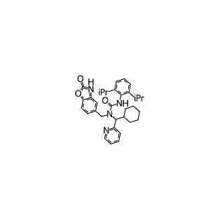 CC(C)c1cccc(C(C)C)c1NC(=O)N(Cc1ccc2oc(=O)[nH]c2c1)C(c1ccccn1)C1CCCCC1